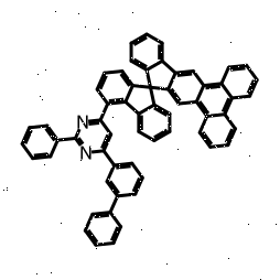 c1ccc(-c2cccc(-c3cc(-c4cccc5c4-c4ccccc4C54c5ccccc5-c5cc6c7ccccc7c7ccccc7c6cc54)nc(-c4ccccc4)n3)c2)cc1